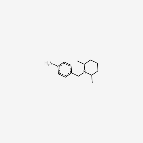 CC1CCCC(C)N1Cc1ccc(N)cc1